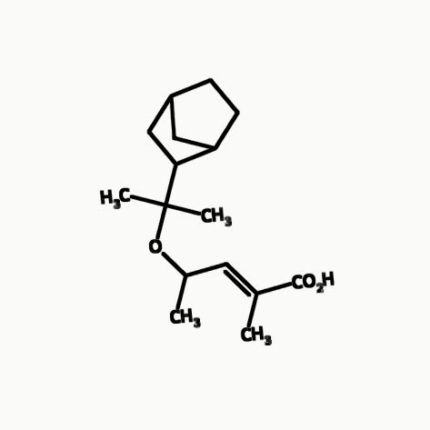 CC(=CC(C)OC(C)(C)C1CC2CCC1C2)C(=O)O